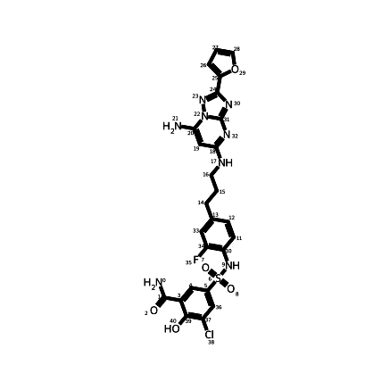 NC(=O)c1cc(S(=O)(=O)Nc2ccc(CCCNc3cc(N)n4nc(-c5ccco5)nc4n3)cc2F)cc(Cl)c1O